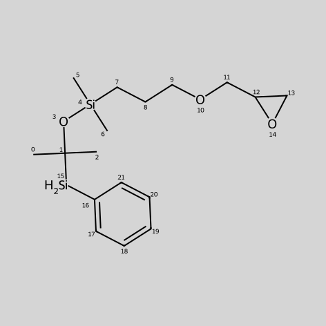 CC(C)(O[Si](C)(C)CCCOCC1CO1)[SiH2]c1ccccc1